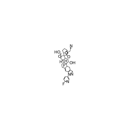 C[C@]12Cc3cnn(-c4ccc(F)nc4)c3C=C1CC[C@H]1[C@@H]3CC[C@](C(=O)SCC#N)([C@@]4(C(=O)O)CCCO4)[C@@]3(C)C[C@H](O)[C@@]12F